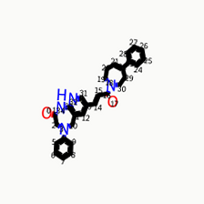 O=C1CN(c2ccccc2)Cc2cc(/C=C/C(=O)N3CCC=C(c4ccccc4)CC3)cnc2N1